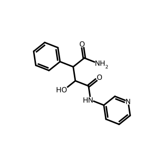 NC(=O)C(c1ccccc1)C(O)C(=O)Nc1cccnc1